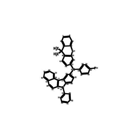 CC1(C)c2ccccc2Sc2cc(N(c3ccc(F)cc3)c3ccc4c(c3)c3c5ccccc5ccc3n4-c3ccccc3)ccc21